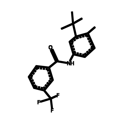 Cc1ccc(NC(=O)c2cccc(C(F)(F)F)c2)cc1C(C)(C)C